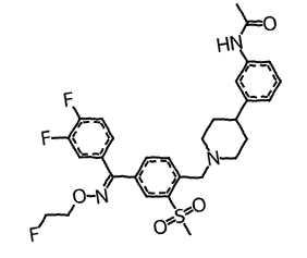 CC(=O)Nc1cccc(C2CCN(Cc3ccc(C(=NOCCF)c4ccc(F)c(F)c4)cc3S(C)(=O)=O)CC2)c1